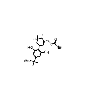 CCCCCCC(C)(C)c1cc(O)c([C@H]2C=C(COC(=O)C(C)(C)C)[C@@H](C)C(C)(C)C2)c(O)c1